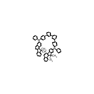 CC1(C)c2cc(N(c3ccccc3)c3ccc(-c4cccc(-c5cccc(-c6ccc(N(c7ccccc7)c7ccc8c9c(ccc8c7)-c7ccccc7C9(C)C)cc6)c5)c4)cc3)ccc2-c2ccc3ccccc3c21